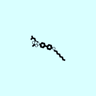 CCCCCCCCOc1ccc(-c2ccc(OC[C@H](CC(C)C)OC(C)=O)cc2)cc1